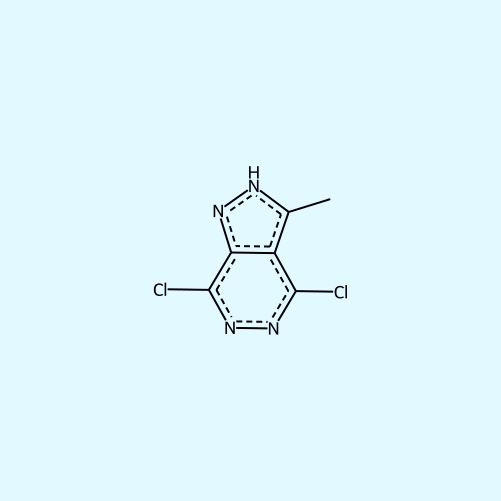 Cc1[nH]nc2c(Cl)nnc(Cl)c12